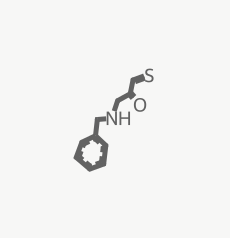 O=C(C=S)CNCc1ccccc1